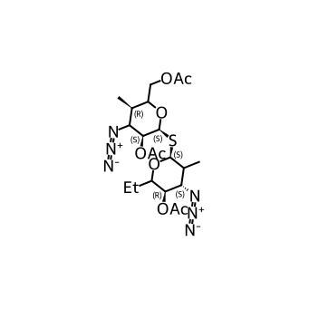 CCC1O[C@@H](S[C@@H]2OC(COC(C)=O)[C@H](C)C(N=[N+]=[N-])[C@@H]2OC(C)=O)C(C)[C@H](N=[N+]=[N-])[C@H]1OC(C)=O